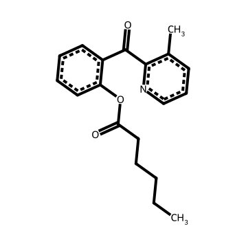 CCCCCC(=O)Oc1ccccc1C(=O)c1ncccc1C